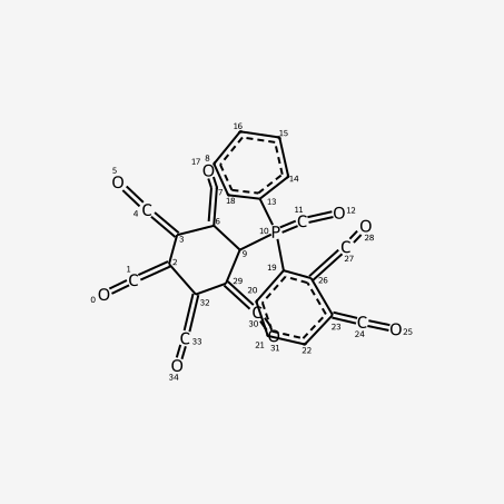 O=C=C1C(=C=O)C(=C=O)C(P(=C=O)(c2ccccc2)c2cccc(=C=O)c2=C=O)C(=C=O)C1=C=O